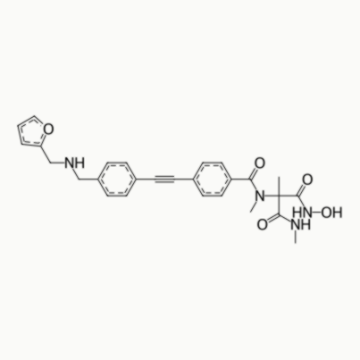 CNC(=O)C(C)(C(=O)NO)N(C)C(=O)c1ccc(C#Cc2ccc(CNCc3ccco3)cc2)cc1